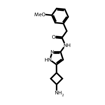 COc1cccc(CC(=O)Nc2cc(C3CC(N)C3)[nH]n2)c1